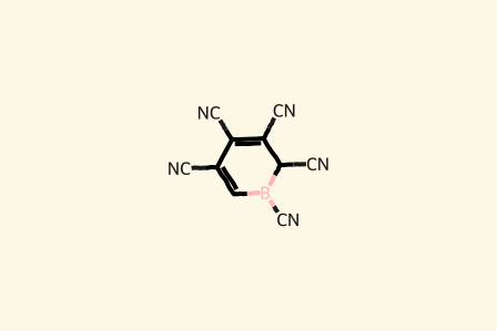 N#CB1C=C(C#N)C(C#N)=C(C#N)C1C#N